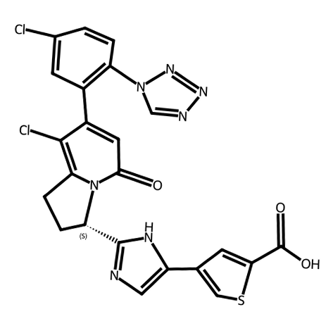 O=C(O)c1cc(-c2cnc([C@@H]3CCc4c(Cl)c(-c5cc(Cl)ccc5-n5cnnn5)cc(=O)n43)[nH]2)cs1